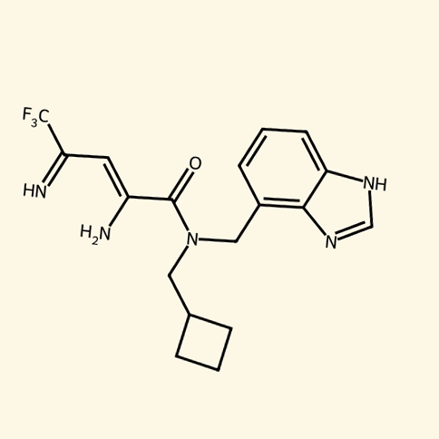 N=C(/C=C(\N)C(=O)N(Cc1cccc2[nH]cnc12)CC1CCC1)C(F)(F)F